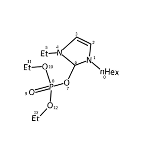 CCCCCCN1C=CN(CC)C1OP(=O)(OCC)OCC